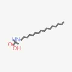 CCCCCCCCCCCCCCCCNC(C)(C)C(=O)O